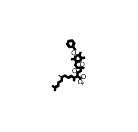 COC(=O)C(C(=O)CC1(C)CCc2c(C)c(OCc3ccccc3)c(C)c(C)c2O1)C(C)C=CC[C@H](C)CCC=C(C)C